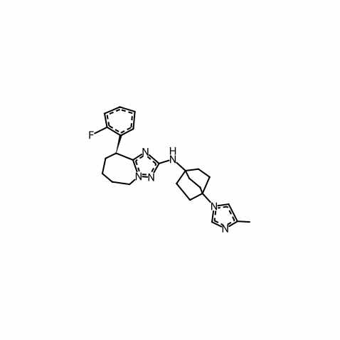 Cc1cn(C23CCC(Nc4nc5n(n4)CCCC[C@H]5c4ccccc4F)(CC2)CC3)cn1